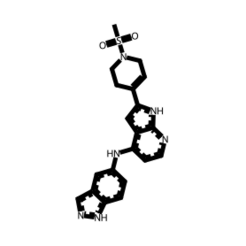 CS(=O)(=O)N1CC=C(c2cc3c(Nc4ccc5[nH]ncc5c4)ccnc3[nH]2)CC1